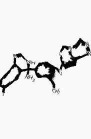 Cc1cc(C2(N)NC=Nc3ccc(I)cc32)ccc1Oc1cc2nncn2cn1